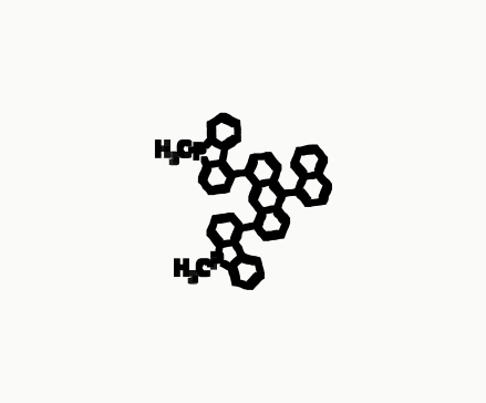 Cp1c2ccccc2c2c(-c3cccc4c(-c5cccc6ccccc56)c5cccc(-c6cccc7c6c6ccccc6p7C)c5cc34)cccc21